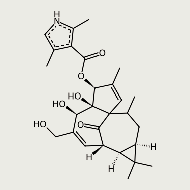 CC1=CC23C(=O)[C@@H](C=C(CO)[C@@H](O)[C@]2(O)[C@H]1OC(=O)c1c(C)c[nH]c1C)[C@H]1[C@@H](CC3C)C1(C)C